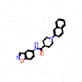 O=C(Nc1ccc2oncc2c1)C1CCN(c2ccc3ccccc3c2)CC1